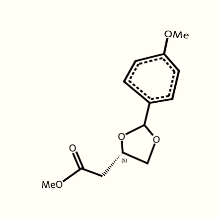 COC(=O)C[C@H]1COC(c2ccc(OC)cc2)O1